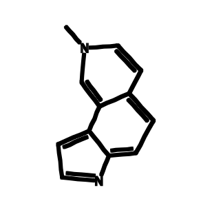 Cn1ccc2ccc3nccc3c2c1